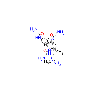 C[C@H](CCCN(C)CN)C1CC[C@H]2C3[C@H](NC(=O)CCN)CC4CC(NC(=O)CCN)CCC4(C)[C@H]3C[C@H](NC(=O)CCN)C12C